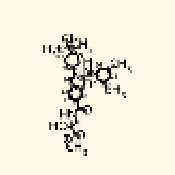 COC(=O)C(O)CNC(=O)c1ccc(CN(C(=O)Nc2cc(C)cc(C)c2)C2CCC(C(C)(C)C)CC2)cc1